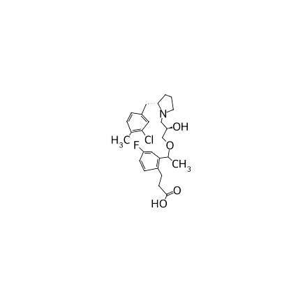 Cc1ccc(C[C@@H]2CCCN2C[C@@H](O)COC(C)c2cc(F)ccc2CCC(=O)O)cc1Cl